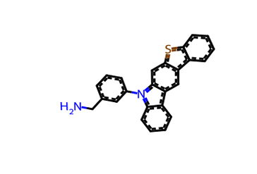 NCc1cccc(-n2c3ccccc3c3cc4c(cc32)sc2ccccc24)c1